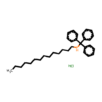 CCCCCCCCCCCCCCPC(c1ccccc1)(c1ccccc1)c1ccccc1.Cl